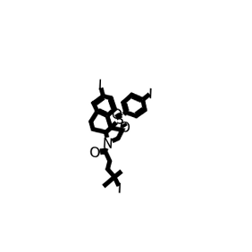 CC(C)(I)CCC(=O)N1CCC2(S(=O)(=O)c3ccc(I)cc3)c3ccc(I)cc3CCC12